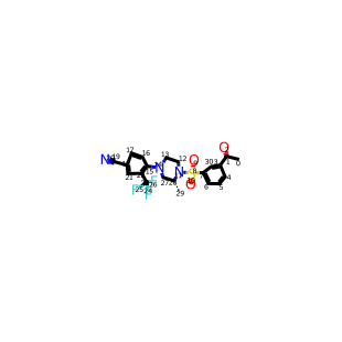 CC(=O)c1cccc(S(=O)(=O)N2CCN(c3ccc(C#N)cc3C(F)(F)F)C[C@H]2C)c1